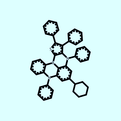 c1ccc(-c2sc3c(c2-c2ccccc2)N(c2ccccc2)c2cc(C4CCCCC4)cc4c2B3c2ccccc2N4c2ccccc2)cc1